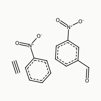 C#C.O=Cc1cccc([N+](=O)[O-])c1.O=[N+]([O-])c1ccccc1